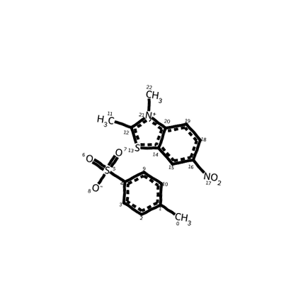 Cc1ccc(S(=O)(=O)[O-])cc1.Cc1sc2cc([N+](=O)[O-])ccc2[n+]1C